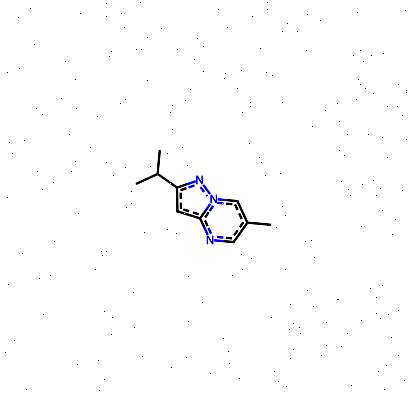 Cc1cnc2cc(C(C)C)nn2c1